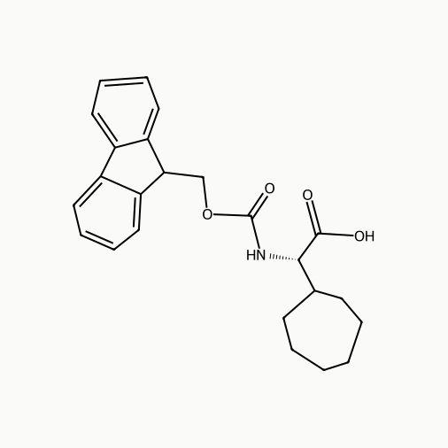 O=C(N[C@H](C(=O)O)C1CCCCCC1)OCC1c2ccccc2-c2ccccc21